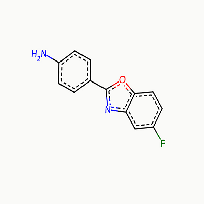 Nc1ccc(-c2nc3cc(F)ccc3o2)cc1